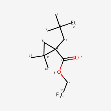 CCC(C)(C)CC1(C(=O)OCC(F)(F)F)CC1(C)C